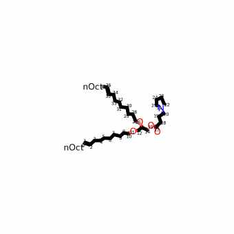 CCCCCCCCC=CCCCCCCCCOCC(COC(=O)CCCN1CCCC1)OCCCCCCCCC=CCCCCCCCC